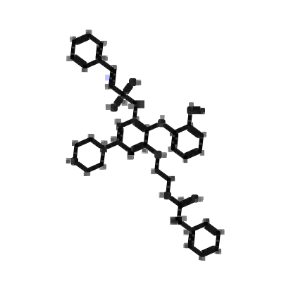 COc1ccccc1Oc1c(NS(=O)(=O)/C=C/c2ccccc2)nc(N2CCOCC2)nc1OCCOC(=O)Nc1ccccc1